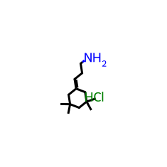 CC1(C)CC(=CCCN)CC(C)(C)C1.Cl